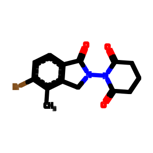 Cc1c(Br)ccc2c1CN(N1C(=O)CCCC1=O)C2=O